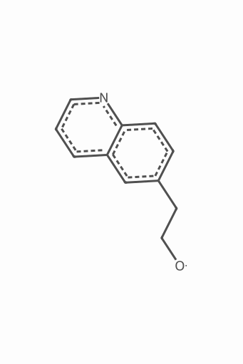 [O]CCc1ccc2ncccc2c1